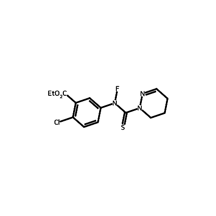 CCOC(=O)c1cc(N(F)C(=S)N2CCCC=N2)ccc1Cl